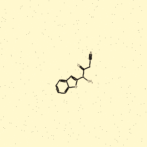 CC(C(=O)CC#N)c1cc2ccccc2o1